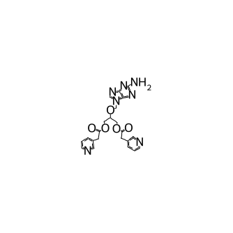 Nc1ncc2c(ncn2COC(COC(=O)Cc2cccnc2)COC(=O)Cc2cccnc2)n1